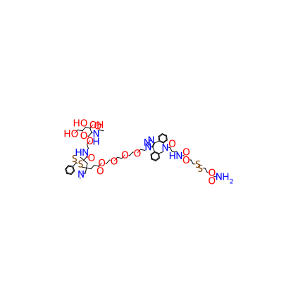 C/N=C/C(C)(CCC(=O)OCCOCCOCCOCCn1nnc2c1-c1ccccc1CN(C(=O)CCNC(=O)OCCSSCCOC(N)=O)c1ccccc1-2)CC(C)(SC(=S)c1ccccc1)C(=O)NCCOC1OC(CO)C(O)C(O)C1NC(C)=O